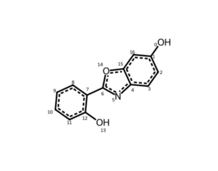 Oc1ccc2nc(-c3ccccc3O)oc2c1